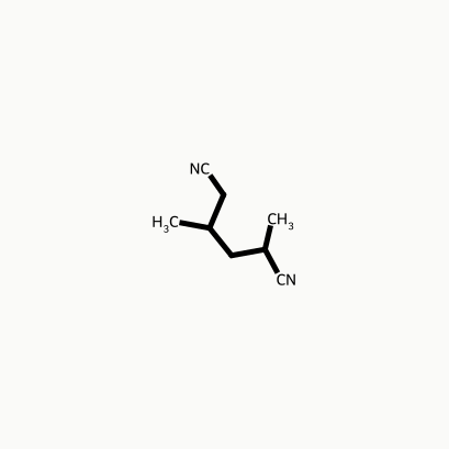 CC(C#N)CC(C)CC#N